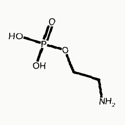 NCCOP(=O)(O)O